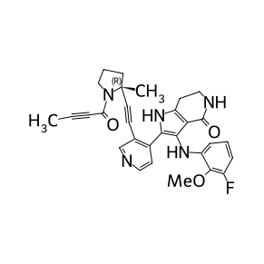 CC#CC(=O)N1CCC[C@]1(C)C#Cc1cnccc1-c1[nH]c2c(c1Nc1cccc(F)c1OC)C(=O)NCC2